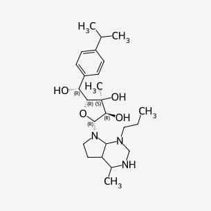 CCCN1CNC(C)C2CCN([C@@H]3O[C@H]([C@H](O)c4ccc(C(C)C)cc4)[C@@](C)(O)[C@H]3O)C21